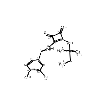 CCC(C)(C)Nc1c(NCc2ccc(Cl)c(Cl)c2)c(=O)c1=O